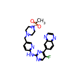 CS(=O)(=O)N1CCN(Cc2ccc(Nc3ncc(F)c(-c4ccc5nccnc5c4)n3)nc2)CC1